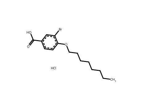 CCCCCCCCOc1ccc(C(=O)O)cc1Br.Cl